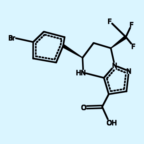 O=C(O)c1cnn2c1N[C@@H](c1ccc(Br)cc1)C[C@H]2C(F)(F)F